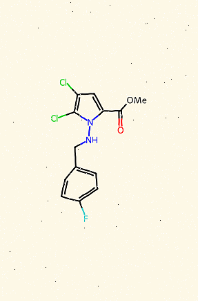 COC(=O)c1cc(Cl)c(Cl)n1NCc1ccc(F)cc1